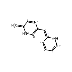 C=C1C=NC(/C=C2\N=CC=NN2)=NN1